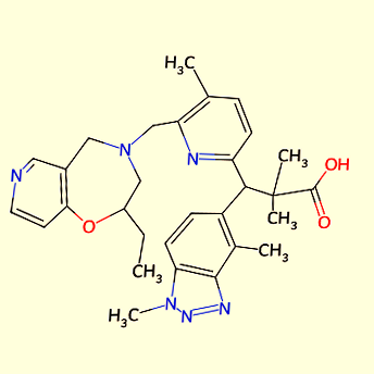 CCC1CN(Cc2nc(C(c3ccc4c(nnn4C)c3C)C(C)(C)C(=O)O)ccc2C)Cc2cnccc2O1